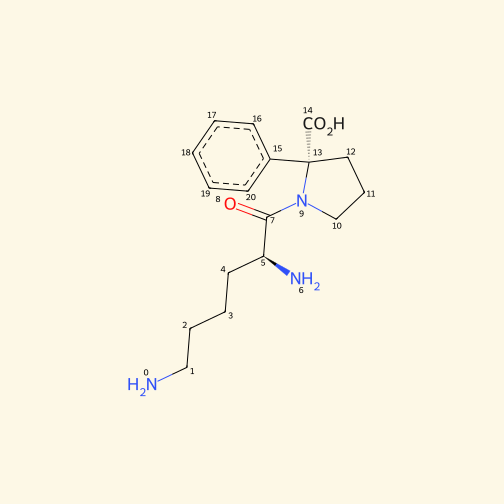 NCCCC[C@H](N)C(=O)N1CCC[C@]1(C(=O)O)c1ccccc1